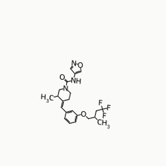 CC(COc1cccc(C=C2CCN(C(=O)Nc3cnoc3)CC2C)c1)CC(F)(F)F